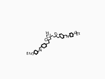 CCOc1ccc(/N=C/c2ccc(CC(=O)CC[C@H](C)CC(=O)Cc3ccc(/C=N/c4ccc(OCC)cc4)cc3)cc2)cc1